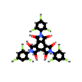 O=c1c2c3c(=O)n(-c4c(F)cc(F)cc4F)c(=O)c3c3c(=O)n(-c4c(F)cc(F)cc4F)c(=O)c3c2c(=O)n1-c1c(F)cc(F)cc1F